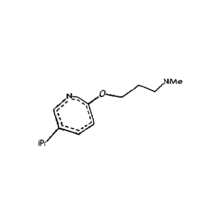 CNCCCOc1ccc(C(C)C)cn1